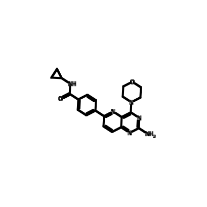 Nc1nc(N2CCOCC2)c2nc(-c3ccc(C(=O)NC4CC4)cc3)ccc2n1